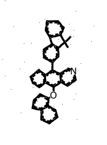 CC1(C)c2ccccc2-c2ccc(-c3c4ccccc4c(Oc4cccc5ccccc45)c4ccncc34)cc21